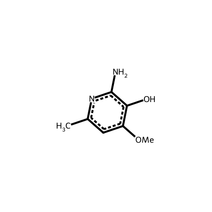 COc1cc(C)nc(N)c1O